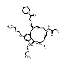 CCOCOc1cc2c(c(OCOCC)c1)C(=O)O[C@H](C)C/C=C/[C@H](NC(=O)CCl)C/C=C/C(=NOCC(=O)N1CCCCC1)C2